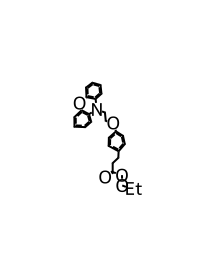 CCOOC(=O)CCc1ccc(OCCN2c3ccccc3Oc3ccccc32)cc1